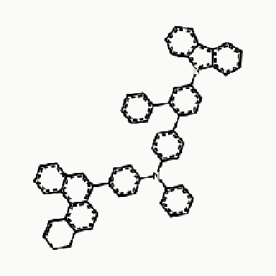 C1=Cc2c(ccc3c(-c4ccc(N(c5ccccc5)c5ccc(-c6ccc(-n7c8ccccc8c8ccccc87)cc6-c6ccccc6)cc5)cc4)cc4ccccc4c23)CC1